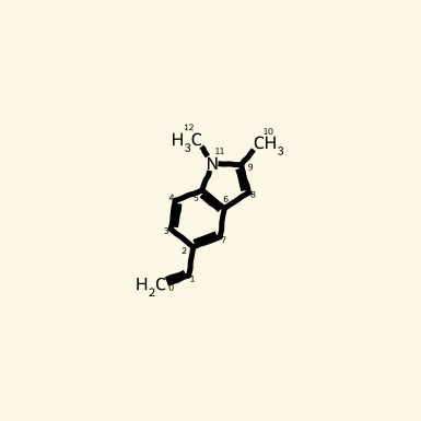 C=Cc1ccc2c(c1)cc(C)n2C